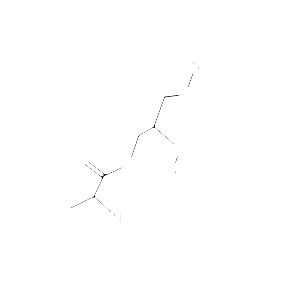 CC(N)C(=O)OCC(CO[N+](=O)[O-])O[N+](=O)[O-]